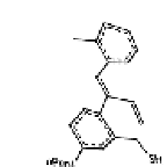 C=C/C(=C\c1ccccc1C)c1ccc(CCCCC)cc1CS